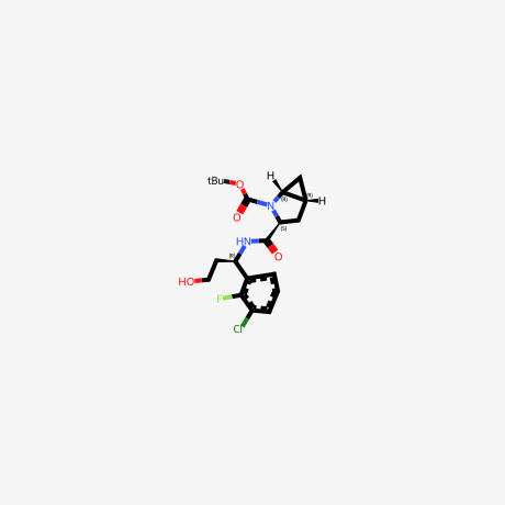 CC(C)(C)OC(=O)N1[C@@H]2C[C@@H]2C[C@H]1C(=O)N[C@H](CCO)c1cccc(Cl)c1F